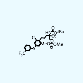 CCC(CCCc1ccc(Sc2cccc(C(F)(F)F)c2)cc1Cl)(COP(=O)(OC)OC)NC(=O)OC(C)(C)C